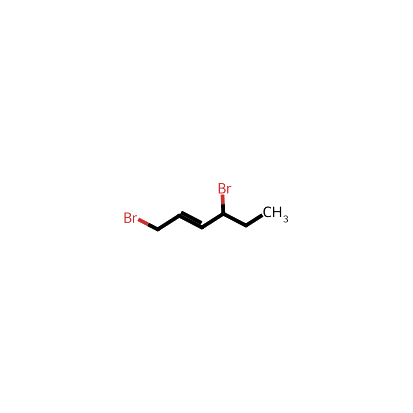 CCC(Br)/C=C/CBr